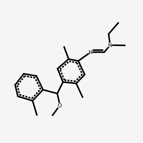 CCN(C)C=Nc1cc(C)c(C(OC)c2ccccc2C)cc1C